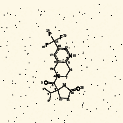 CC(C)C1(C(=O)N2CCc3ncc(C(F)(F)F)cc3C2)CCC(=O)C1